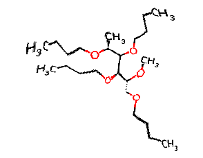 CCCCOC[C@@H](OC)[C@@H](OCCCC)[C@H](OCCCC)[C@H](C)OCCCC